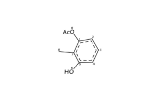 CC(=O)Oc1cccc(O)c1C